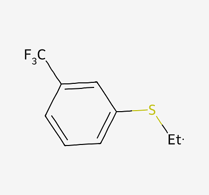 C[CH]Sc1cccc(C(F)(F)F)c1